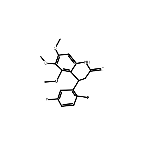 COc1cc2c(c(OC)c1OC)C(c1cc(F)ccc1F)CC(=O)N2